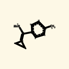 CNC(=C1CC1)c1ccc(C)cc1